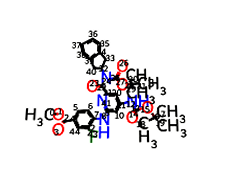 COC(=O)c1ccc(Nc2cc(NC(=O)OC(C)(C)C)cc(C(=O)N(C(=O)OC(C)(C)C)C3Cc4ccccc4C3)n2)c(F)c1